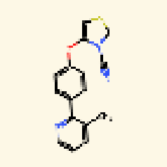 Cc1cccnc1-c1ccc(OC2=CSCN2C#N)cc1